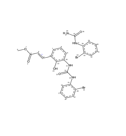 COC(=O)/C=C/c1cccc(NC(=O)Nc2ccccc2Br)c1O.NC(=O)Nc1ccccc1Br